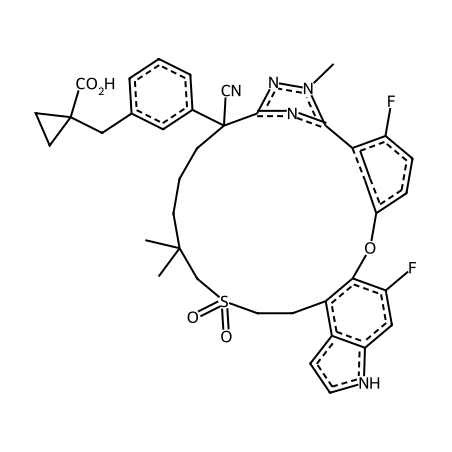 Cn1nc2nc1-c1cc(ccc1F)Oc1c(F)cc3[nH]ccc3c1CCS(=O)(=O)CC(C)(C)CCCC2(C#N)c1cccc(CC2(C(=O)O)CC2)c1